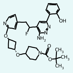 CC(C)(C)OC(=O)N1CCC(O[C@H]2C[C@H](Oc3cc(CC(F)c4cc(-c5ccccc5O)nnc4N)ccn3)C2)CC1